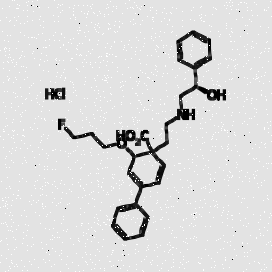 Cl.O=C(O)C1(CCNC[C@H](O)c2ccccc2)C=CC(c2ccccc2)=CC1OCCCF